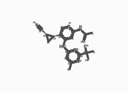 CC(=O)Nc1cc(Nc2cc(C)nc(C(C)(F)F)n2)c([C@@H]2C[C@@H]2C#N)cn1